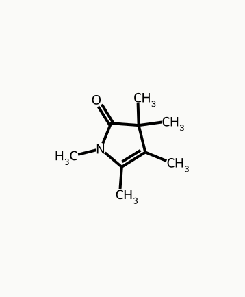 CC1=C(C)C(C)(C)C(=O)N1C